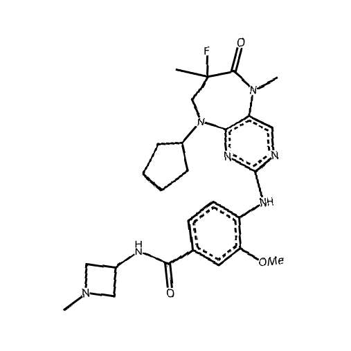 COc1cc(C(=O)NC2CN(C)C2)ccc1Nc1ncc2c(n1)N(C1CCCC1)CC(C)(F)C(=O)N2C